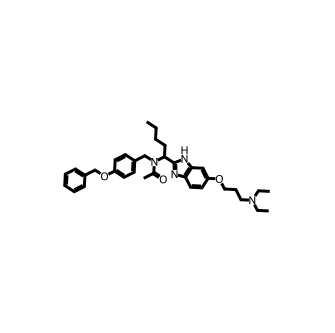 CCCCC(c1nc2ccc(OCCCN(CC)CC)cc2[nH]1)N(Cc1ccc(OCc2ccccc2)cc1)C(C)=O